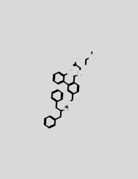 CSCC[C@H](NC(=O)c1ccc(CONC(Cc2ccccc2)Cc2ccccc2)cc1-c1ccccc1C)C(=O)[O-].[Li+]